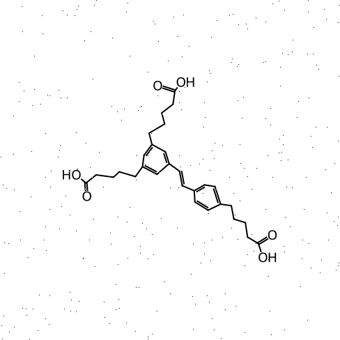 O=C(O)CCCCc1ccc(C=Cc2cc(CCCCC(=O)O)cc(CCCCC(=O)O)c2)cc1